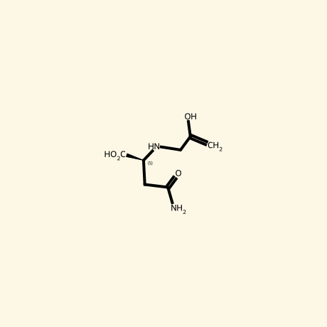 C=C(O)CN[C@@H](CC(N)=O)C(=O)O